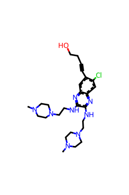 CN1CCN(CCNc2nc3cc(Cl)c(C#CCCO)cc3nc2NCCN2CCN(C)CC2)CC1